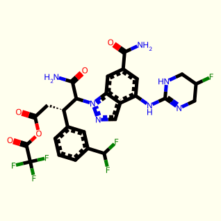 NC(=O)c1cc(NC2=NCC(F)CN2)c2cnn(C(C(N)=O)[C@@H](CC(=O)OC(=O)C(F)(F)F)c3cccc(C(F)F)c3)c2c1